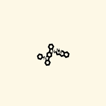 c1ccc(-n2c3ccccc3c3cc4c(cc32)c2ccccc2n4-c2cc3cc4ccccc4cn3n2)cc1